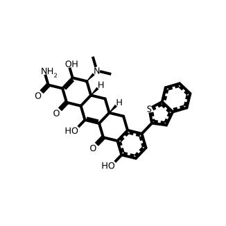 CN(C)[C@@H]1C(O)=C(C(N)=O)C(=O)C2C(O)=C3C(=O)c4c(O)ccc(-c5cc6ccccc6s5)c4C[C@H]3C[C@H]21